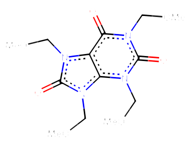 COCn1c(=O)c2c(n(COC)c1=O)n(COC)c(=O)n2COC